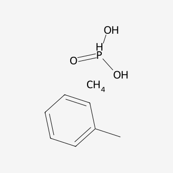 C.Cc1ccccc1.O=[PH](O)O